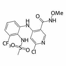 CONC(=O)c1cnc(Cl)cc1Nc1cccc(C(F)(F)F)c1NS(C)(=O)=O